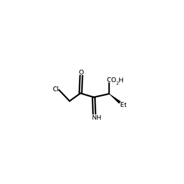 CC[C@@H](C(=N)C(=O)CCl)C(=O)O